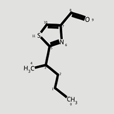 CCCC(C)c1nc(C=O)cs1